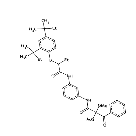 CCC(Oc1ccc(C(C)(C)CC)cc1C(C)(C)CC)C(=O)Nc1cccc(NC(=O)C(OC)(OC(C)=O)C(=O)c2ccccc2)c1